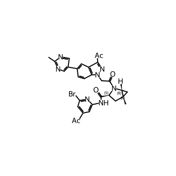 CC(=O)c1cc(Br)nc(NC(=O)[C@@H]2C[C@@]3(C)C[C@H]3N2C(=O)Cn2nc(C(C)=O)c3cc(-c4cnc(C)nc4)ccc32)c1